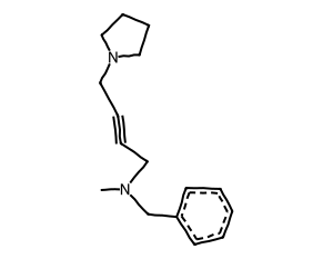 CN(CC#CCN1CCCC1)Cc1ccccc1